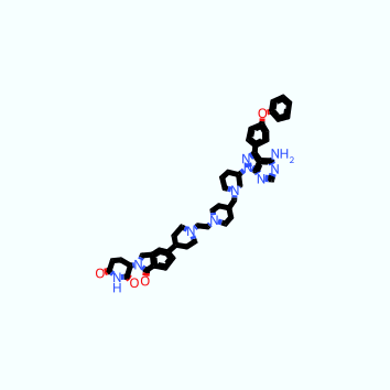 Nc1ncnc2c1c(-c1ccc(Oc3ccccc3)cc1)nn2C1CCCN(CC2CCN(CCN3CCC(c4ccc5c(c4)CN(C4CCC(=O)NC4=O)C5=O)CC3)CC2)C1